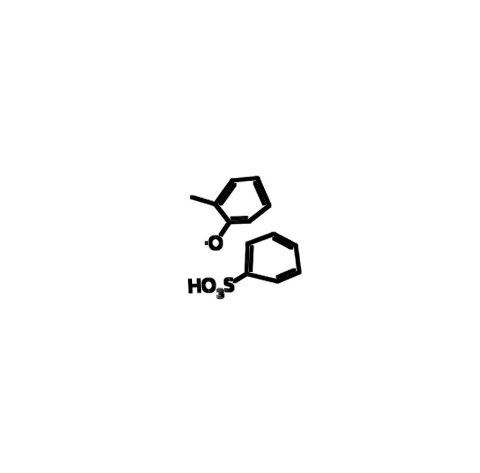 Cc1ccccc1[O].O=S(=O)(O)c1ccccc1